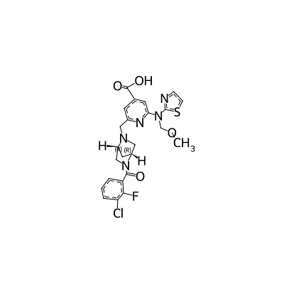 COCN(c1cc(C(=O)O)cc(CN2C[C@H]3C[C@@H]2CN3C(=O)c2cccc(Cl)c2F)n1)c1nccs1